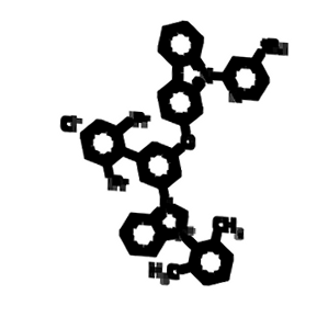 Cc1cccc(C)c1-[n+]1cn(-c2cc(Oc3ccc4c5ccccc5n(-c5cc(C(C)(C)C)ccn5)c4c3)cc(-c3c(C(C)C)cccc3C(C)C)c2)c2ccccc21.[Cl-]